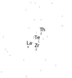 [La].[Te].[Th].[Zr]